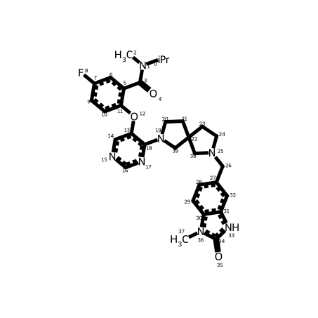 CC(C)N(C)C(=O)c1cc(F)ccc1Oc1cncnc1N1CCC2(CCN(Cc3ccc4c(c3)[nH]c(=O)n4C)C2)C1